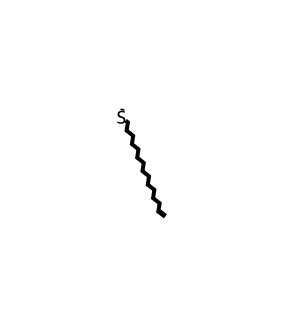 C=CCCCCCCCCCCCCCSC